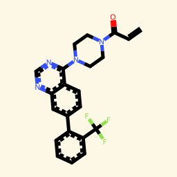 C=CC(=O)N1CCN(c2ncnc3cc(-c4ccccc4C(F)(F)F)ccc23)CC1